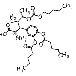 CCCCCOC(=O)OC(C)C(C)C(c1ccc(OC(=O)CCCC)c(OC(=O)CCCC)c1)[C@H](N)C(=O)O